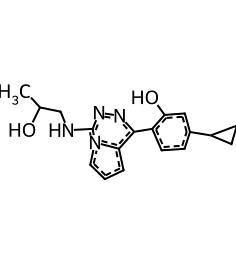 CC(O)CNc1nnc(-c2ccc(C3CC3)cc2O)c2cccn12